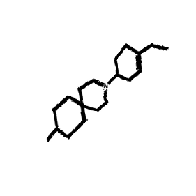 CCC1=CCC(N2CCC3(CCC(C)CC3)CC2)CC1